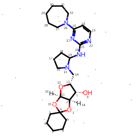 O[C@@H]1[C@H]2OC3(CCCCC3)O[C@H]2O[C@@H]1CN1CCCC1Nc1nccc(N2CCCCCC2)n1